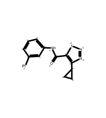 CC(C)c1cccc(NC(=O)c2snnc2C2CC2)c1